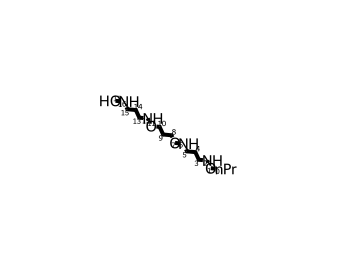 CCCONCCCNOCCCONCCCNO